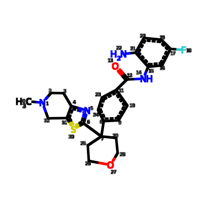 CN1CCc2nc(C3(c4ccc(C(=O)Nc5cc(F)ccc5N)cc4)CCOCC3)sc2C1